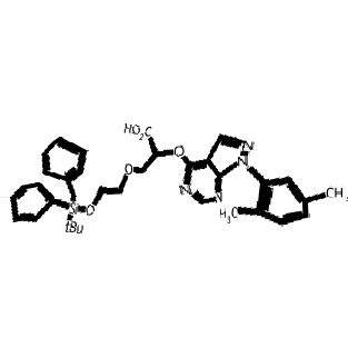 Cc1ccc(C)c(-n2ncc3c(OC(COCCO[Si](c4ccccc4)(c4ccccc4)C(C)(C)C)C(=O)O)ncnc32)c1